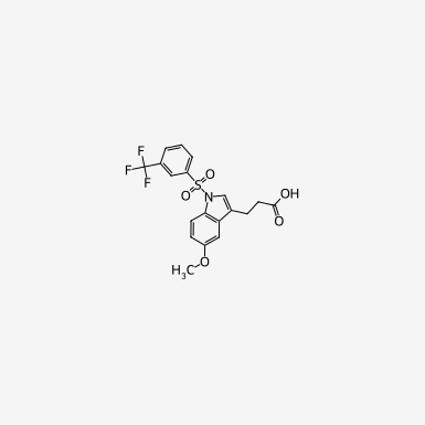 COc1ccc2c(c1)c(CCC(=O)O)cn2S(=O)(=O)c1cccc(C(F)(F)F)c1